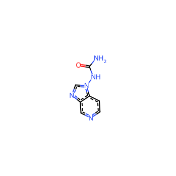 NC(=O)Nn1cnc2cnccc21